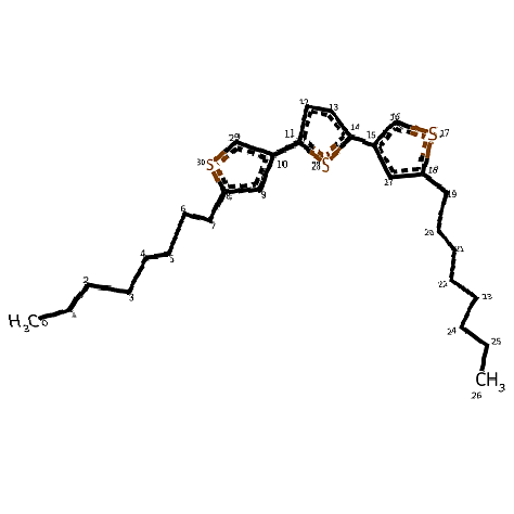 CCCCCCCCc1cc(-c2ccc(-c3csc(CCCCCCCC)c3)s2)cs1